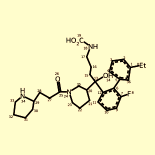 CCc1cccc(-c2c(F)cccc2C(O)(CCCNC(=O)O)C2CCCN(C(=O)CCC3CCCCN3)C2)c1